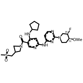 CO[C@H]1CCN(c2nccc(Nc3cc(NC4CCCC4)c(C(=O)N4CC(CS(C)(=O)=O)C4)cn3)n2)C[C@H]1F